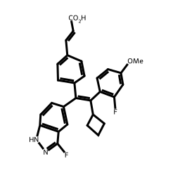 COc1ccc(C(=C(c2ccc(C=CC(=O)O)cc2)c2ccc3[nH]nc(F)c3c2)C2CCC2)c(F)c1